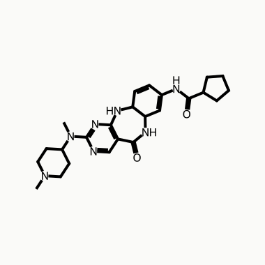 CN1CCC(N(C)c2ncc3c(n2)NC2C=CC(NC(=O)C4CCCC4)=CC2NC3=O)CC1